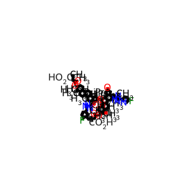 CC(C)C1=C2[C@H]3CC[C@H]4C(C)(CC[C@H]5C(C)(C)[C@@H](OC(=O)CC(C)(Cc6cc(-c7nnc(C(O)[C@@]89CC[C@]%10(C)[C@H](CC[C@@H]%11[C@@]%12(C)CC[C@H](OC(=O)CC(C)(C)C(=O)O)C(C)(C)C%12CC[C@]%11%10C)C8=C(C(C)C)C(=O)C9)n7C)ccc6F)C(=O)O)CC[C@@]54C)[C@]3(C)CC[C@@]2(Cc2nnc(-c3ccc(F)cn3)n2C)CC1=O